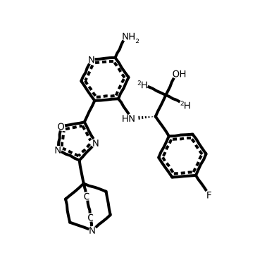 [2H]C([2H])(O)[C@@H](Nc1cc(N)ncc1-c1nc(C23CCN(CC2)CC3)no1)c1ccc(F)cc1